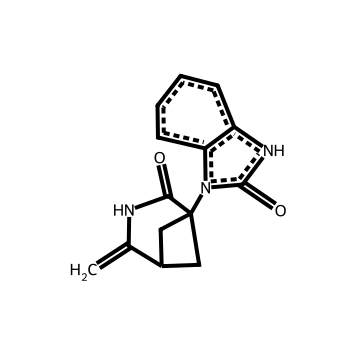 C=C1NC(=O)C2(n3c(=O)[nH]c4ccccc43)CC1C2